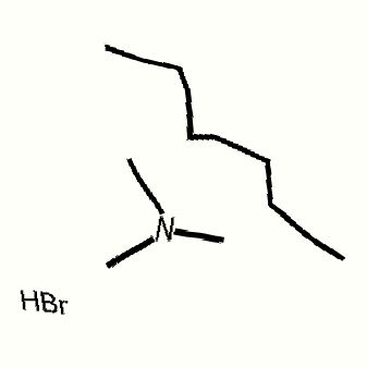 Br.CCCCCC.CN(C)C